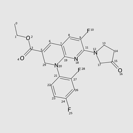 CCOC(=O)C1=Cc2cc(F)c(N3CCC(=O)C3)nc2N(c2ccc(F)cc2F)C1